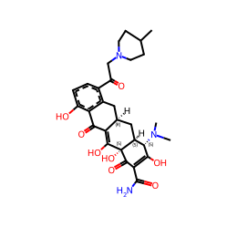 CC1CCN(CC(=O)c2ccc(O)c3c2C[C@H]2C[C@H]4[C@H](N(C)C)C(O)=C(C(N)=O)C(=O)[C@@]4(O)C(O)=C2C3=O)CC1